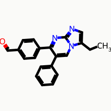 CCc1cnc2nc(-c3ccc(C=O)cc3)c(-c3ccccc3)cn12